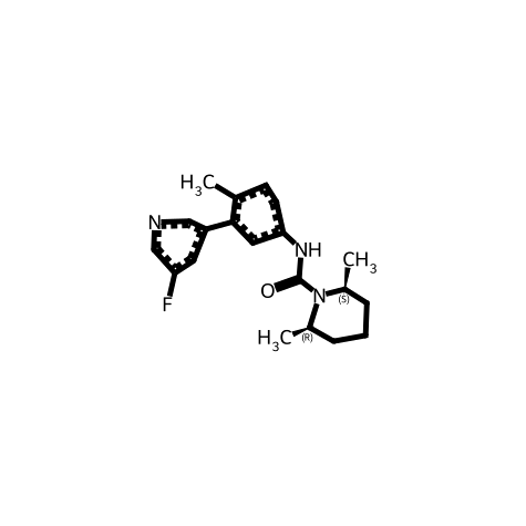 Cc1ccc(NC(=O)N2[C@H](C)CCC[C@@H]2C)cc1-c1cncc(F)c1